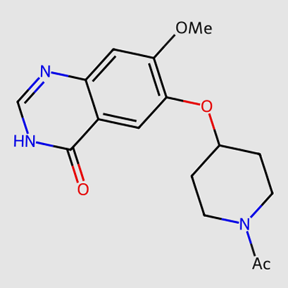 COc1cc2nc[nH]c(=O)c2cc1OC1CCN(C(C)=O)CC1